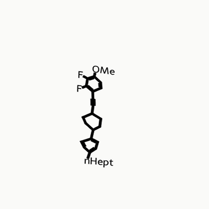 CCCCCCCc1ccc(C2CCC(C#Cc3ccc(OC)c(F)c3F)CC2)cc1